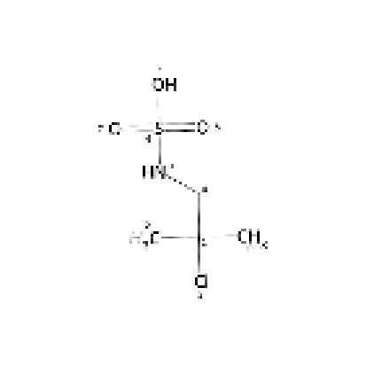 CC(C)(Cl)CNS(=O)(=O)O